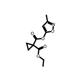 CCOC(=O)C1(C(=O)Oc2cc(C)no2)CC1